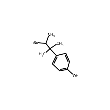 CCCCC(C)C(C)(C)c1ccc(O)cc1